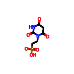 O=C1CC(=O)N(CCS(=O)(=O)O)C(=O)N1